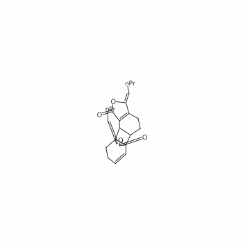 CCC/C=C1\OC(=O)C2=C1CCC1C2C23CCC=CC12C(=O)O/C3=C\CCC